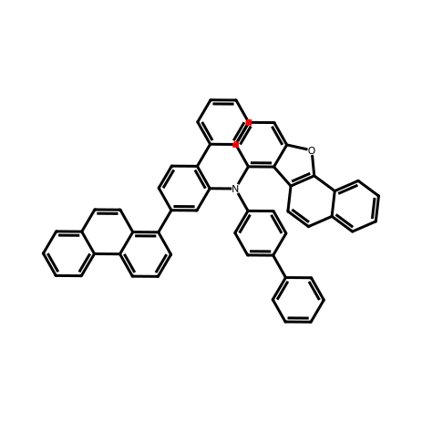 c1ccc(-c2ccc(N(c3cc(-c4cccc5c4ccc4ccccc45)ccc3-c3ccccc3)c3cccc4oc5c6ccccc6ccc5c34)cc2)cc1